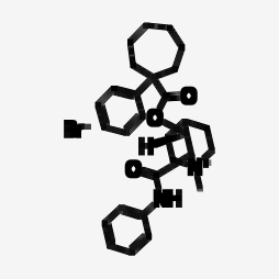 C[N+]12CCC(CC1)[C@@H](OC(=O)C1(c3ccccc3)CCCCCC1)C2C(=O)Nc1ccccc1.[Br-]